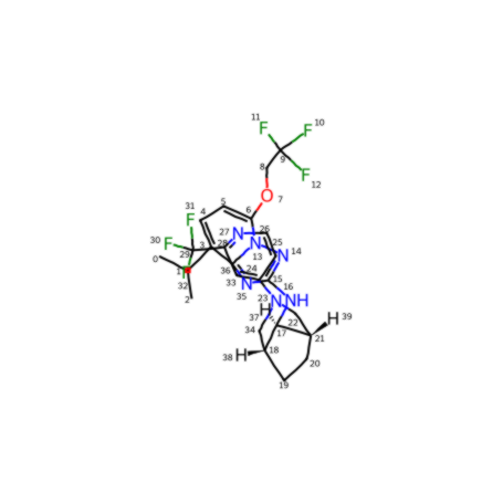 CC(C)c1ccc(OCC(F)(F)F)n2nc(N[C@@H]3[C@@H]4CC[C@H]3CN(c3ccnc(C(F)(F)F)c3)C4)nc12